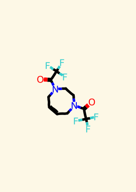 O=C(N1CC=CCN(C(=O)C(F)(F)F)CC1)C(F)(F)F